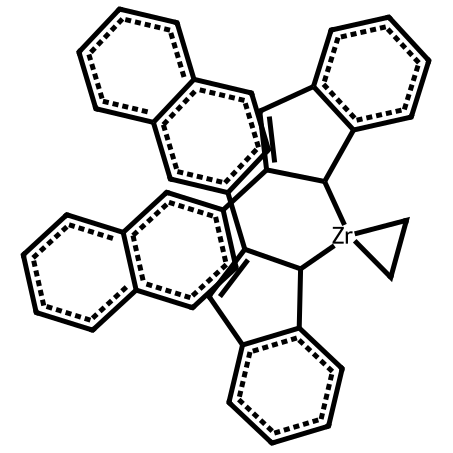 C1=C(c2ccc3ccccc3c2)[CH]([Zr]2([CH]3C(c4ccc5ccccc5c4)=Cc4ccccc43)[CH2][CH2]2)c2ccccc21